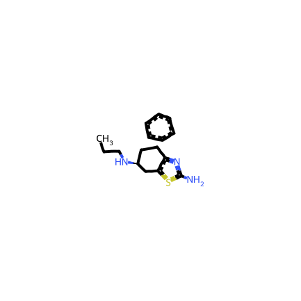 CCCN[C@H]1CCc2nc(N)sc2C1.c1ccccc1